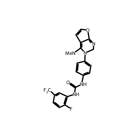 CNC1=c2ccoc2=NCN1c1ccc(NC(=O)Nc2cc(C(F)(F)F)ccc2F)cc1